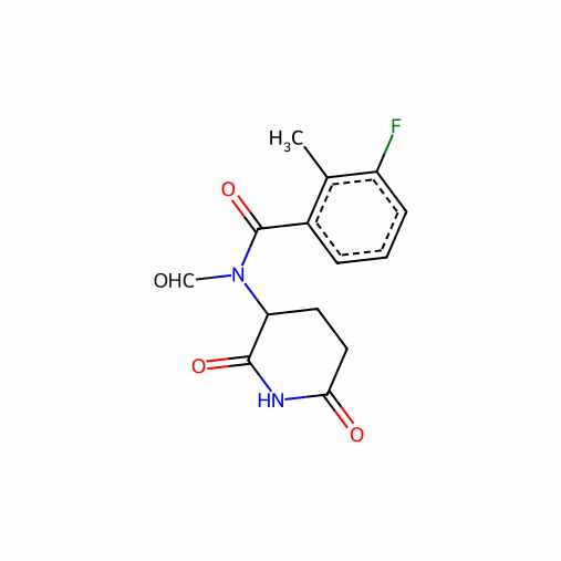 Cc1c(F)cccc1C(=O)N(C=O)C1CCC(=O)NC1=O